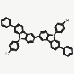 N#Cc1ccc(-n2c3ccc(-c4ccc5c(c4)c4ccc(-c6ccccc6)cc4n5-c4ccc(C#N)cc4)cc3c3ccc(-c4ccccc4)cc32)cc1